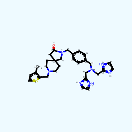 Cc1ccsc1CN1CCC2(CC1)CC(=O)N(Cc1ccc(CN(Cc3ncc[nH]3)Cc3ncc[nH]3)cc1)C2